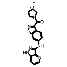 O=C(c1noc2cc(Nc3n[nH]c4cccnc34)ccc12)N1CC[C@@H](F)C1